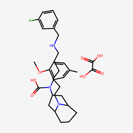 COc1ccc(C)cc1N(C(=O)O)C1CC2CCCC(C1)N2CCCCCCNCc1cccc(F)c1.O=C(O)C(=O)O